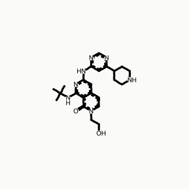 CC(C)(C)Nc1nc(Nc2cc(C3CCNCC3)ncn2)cc2ccn(CCO)c(=O)c12